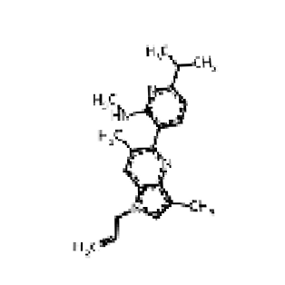 C=CCn1cc(C)c2nc(-c3ccc(C(C)C)nc3NC)c(C)cc21